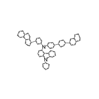 c1ccc(-n2c3ccccc3c3c(N(c4ccc(-c5ccc(-c6ccc7ccccc7c6)cc5)cc4)c4cccc(-c5cccc6c5ccc5ccccc56)c4)cccc32)cc1